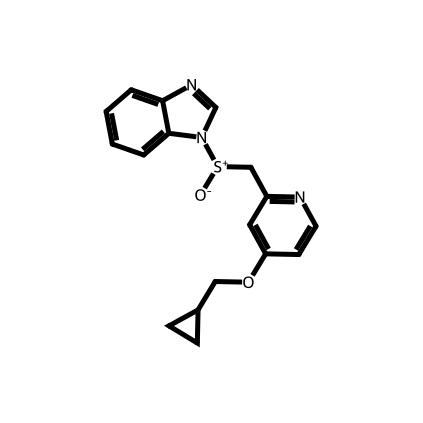 [O-][S+](Cc1cc(OCC2CC2)ccn1)n1cnc2ccccc21